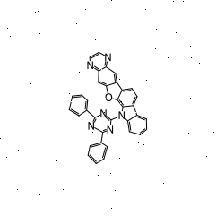 c1ccc(-c2nc(-c3ccccc3)nc(-n3c4ccccc4c4ccc5c6cc7nccnc7cc6oc5c43)n2)cc1